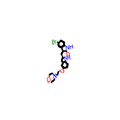 O=C1Nc2ccc(Br)cc2C1=Cc1cc2cc(OCCN3CCOCC3)ccc2[nH]1